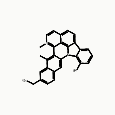 Cc1c2cc(CC(C)(C)C)ccc2cc2c1c1c3c(ccc4c5cccc(C(C)C)c5n2c43)cc[n+]1C